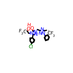 [CH2]c1nc(Cn2nc(-c3ccc(Cl)cc3)n(C[C@H](O)C(F)(F)F)c2=O)nn1-c1ccccc1C(F)(F)F